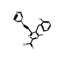 Cc1nc(C(=O)O)nc(C#Cc2ccncc2)c1Cc1ccccc1Cl